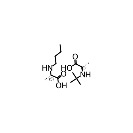 CCCCN[C@@H](C)C(=O)O.C[C@H](NC(C)(C)C)C(=O)O